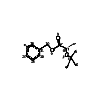 C[C@H](OC(C)(C)C)C(=O)OCc1ccccc1